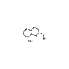 BrCc1ccc2ccccc2n1.Cl